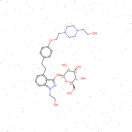 OCCN1CCN(CCOc2ccc(CCc3cccc4c3c(O[C@@H]3O[C@H](CO)[C@@H](O)[C@H](O)[C@H]3O)nn4CCO)cc2)CC1